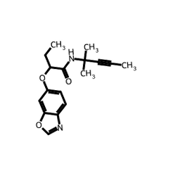 CC#CC(C)(C)NC(=O)C(CC)Oc1ccc2ncoc2c1